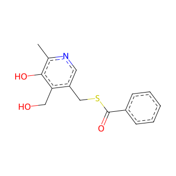 Cc1ncc(CSC(=O)c2ccccc2)c(CO)c1O